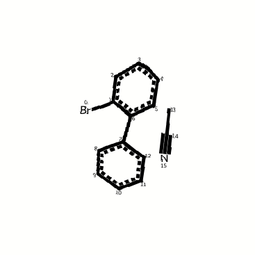 Brc1ccccc1-c1ccccc1.CC#N